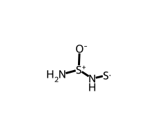 N[S+]([O-])N[S]